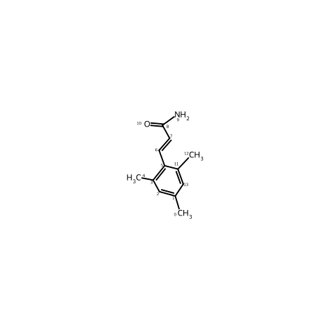 Cc1cc(C)c(C=CC(N)=O)c(C)c1